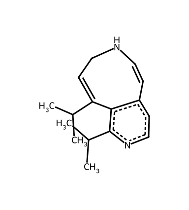 CC(C)/C1=C/CN/C=C\c2ccnc(C(C)C)c21